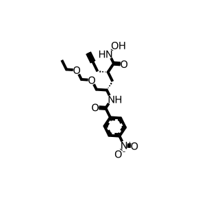 C#CC[C@@H](C[C@@H](COCOCC)NC(=O)c1ccc([N+](=O)[O-])cc1)C(=O)NO